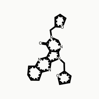 O=c1c2c3nc4ccccc4nc3n(Cc3ccco3)c2ncn1Cc1ccco1